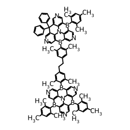 Cc1cc(C)c(B2c3cncc4c3N3c5c2cncc5B(c2c(C)cc(CCc5cc(C)c(B6c7cncc8c7N7c9c(cncc9C(c9ccccc9)(c9ccccc9)c9cncc6c97)B8c6c(C)cc(C)cc6C)c(C)c5)cc2C)c2cncc(c23)B4c2c(C)cc(C)cc2C)c(C)c1